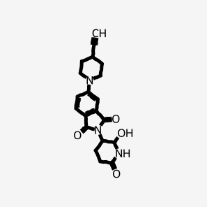 C#CC1CCN(c2ccc3c(c2)C(=O)N(C2CCC(=O)NC2O)C3=O)CC1